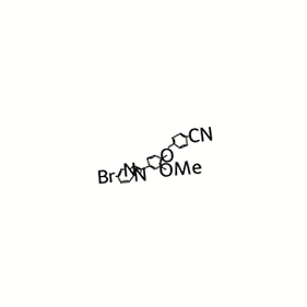 COc1cc(-c2cn3cc(Br)ccc3n2)ccc1OCc1ccc(C#N)cc1